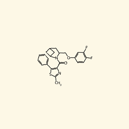 Cc1nc(C(=O)N2C(COc3ccc(F)c(F)c3)CC3CC2C3)c(-c2ccccc2)s1